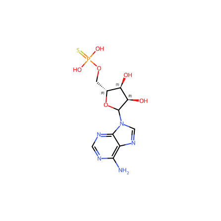 Nc1ncnc2c1ncn2C1O[C@H](COP(O)(O)=S)[C@@H](O)[C@H]1O